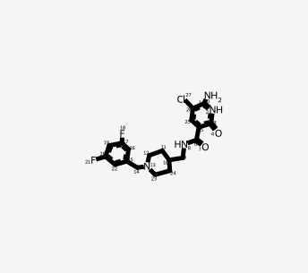 Nc1[nH]c(=O)c(C(=O)NCC2CCN(Cc3cc(F)cc(F)c3)CC2)cc1Cl